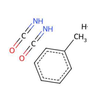 Cc1ccccc1.N=C=O.N=C=O.[H]